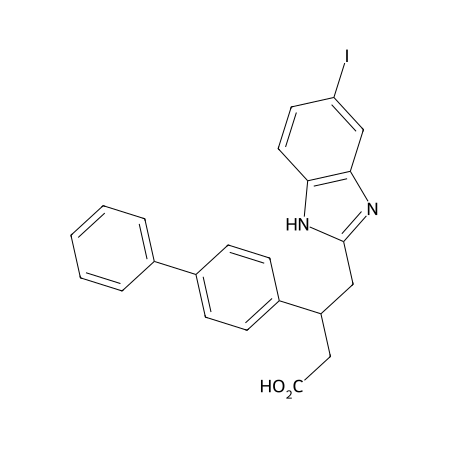 O=C(O)CC(Cc1nc2cc(I)ccc2[nH]1)c1ccc(-c2ccccc2)cc1